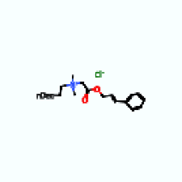 CCCCCCCCCCCC[N+](C)(C)CC(=O)OCC=Cc1ccccc1.[Cl-]